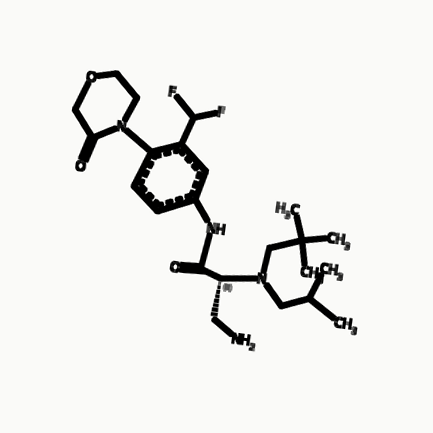 CC(C)CN(CC(C)(C)C)[C@H](CN)C(=O)Nc1ccc(N2CCOCC2=O)c(C(F)F)c1